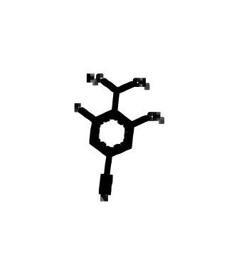 Cc1cc(C#N)cc(F)c1C(C)C